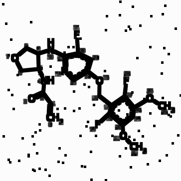 C=CC(=O)NC1COCC1Nc1ncc(OCc2c(F)c(OC)cc(OC)c2F)cc1F